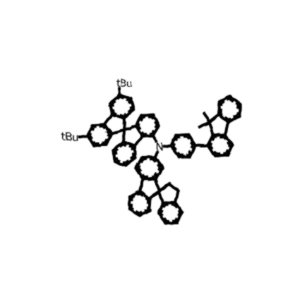 CC(C)(C)c1ccc2c(c1)-c1cc(C(C)(C)C)ccc1C21c2ccccc2-c2c(N(c3ccc(-c4cccc5c4C(C)(C)c4ccccc4-5)cc3)c3ccc4c(c3)C3(CCc5ccccc53)c3ccccc3-4)cccc21